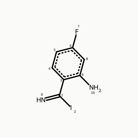 N=C(I)c1ccc(F)cc1N